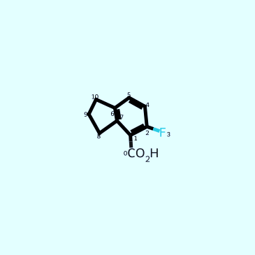 O=C(O)c1c(F)ccc2c1CCC2